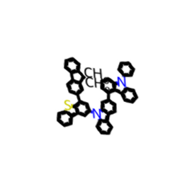 CC1(C)c2ccccc2-c2ccc(-c3cc(-n4c5ccccc5c5ccc(-c6cccc7c6c6ccccc6n7-c6ccccc6)cc54)cc4c3sc3ccccc34)cc21